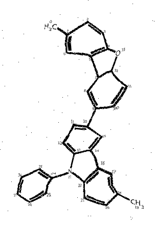 Cc1ccc2c(c1)C1C=C(c3ccc4c(c3)c3cc(C)ccc3n4-c3ccccc3)C=CC1O2